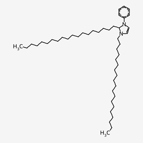 CCCCCCCCCCCCCCCCCCCC1N(CCCCCCCCCCCCCCCCCCC)C=CN1c1ccccc1